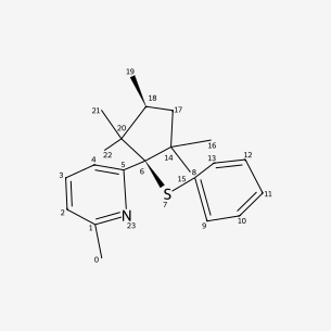 Cc1cccc([C@@]2(Sc3ccccc3)C(C)(C)C[C@H](C)C2(C)C)n1